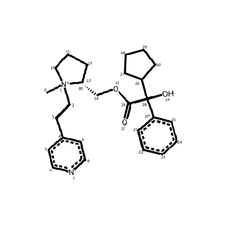 C[N+]1(CCc2ccncc2)CCC[C@@H]1COC(=O)C(O)(c1ccccc1)C1CCCC1